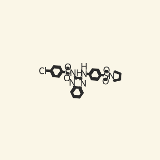 O=S(=O)(Nc1nc2ccccc2nc1Nc1ccc(S(=O)(=O)N2CCCC2)cc1)c1ccc(Cl)cc1